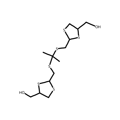 CC(C)(SCC1SCC(CO)S1)SCC1SCC(CO)S1